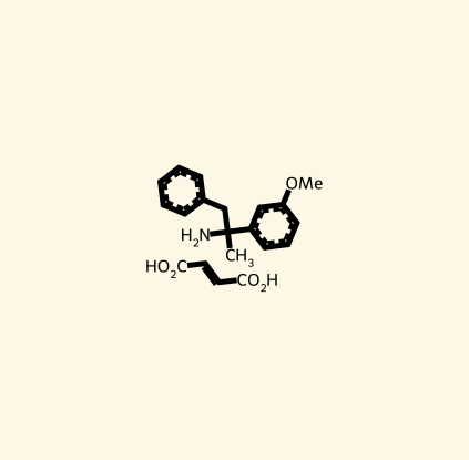 COc1cccc(C(C)(N)Cc2ccccc2)c1.O=C(O)C=CC(=O)O